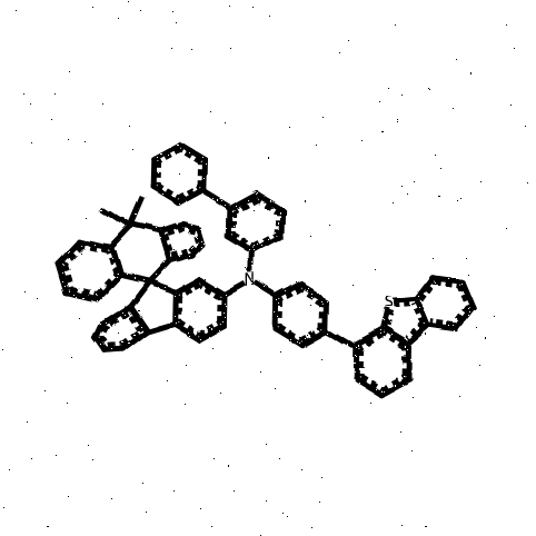 CC1(C)c2ccccc2C2(c3ccccc3-c3ccc(N(c4ccc(-c5cccc6c5sc5ccccc56)cc4)c4cccc(-c5ccccc5)c4)cc32)c2ccccc21